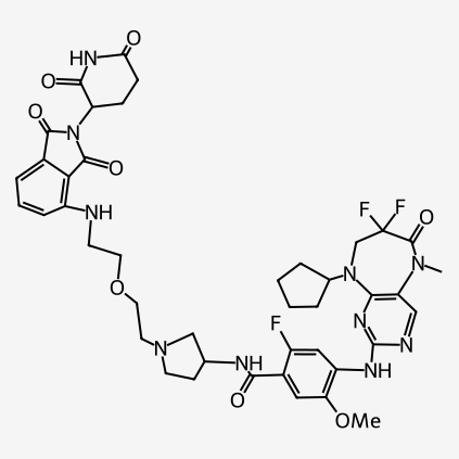 COc1cc(C(=O)NC2CCN(CCOCCNc3cccc4c3C(=O)N(C3CCC(=O)NC3=O)C4=O)C2)c(F)cc1Nc1ncc2c(n1)N(C1CCCC1)CC(F)(F)C(=O)N2C